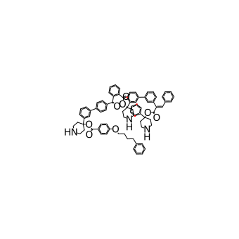 O=C(OC1(c2ccccc2)CCNCC1)/C(=C/c1ccccc1)c1cccc(-c2cccc(C3(OC(=O)c4ccccc4C(=O)c4ccc(-c5cccc(C6(OC(=O)c7ccc(OCCCCc8ccccc8)cc7)CCNCC6)c5)cc4)CCNCC3)c2)c1